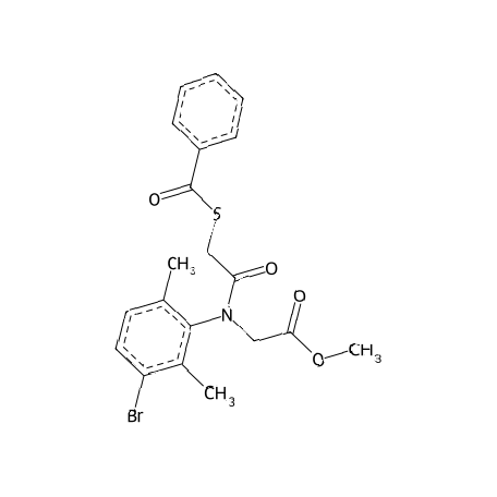 COC(=O)CN(C(=O)CSC(=O)c1ccccc1)c1c(C)ccc(Br)c1C